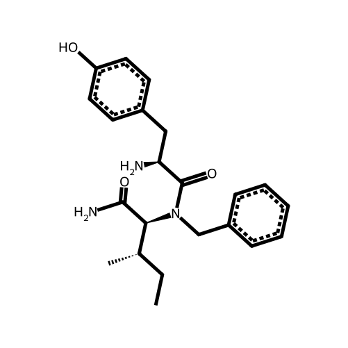 CC[C@H](C)[C@@H](C(N)=O)N(Cc1ccccc1)C(=O)[C@@H](N)Cc1ccc(O)cc1